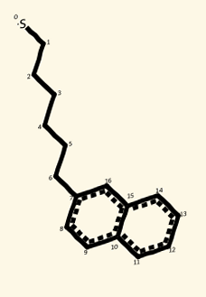 [S]CCCCCCc1ccc2ccccc2c1